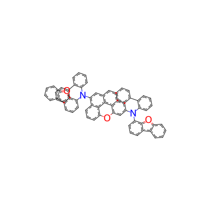 c1ccc(-c2ccccc2N(c2cc3c4c(ccc5cc(N(c6ccccc6-c6ccccc6)c6cccc7c6oc6ccccc67)c6cccc(c6c54)O3)c2)c2cccc3c2oc2ccccc23)cc1